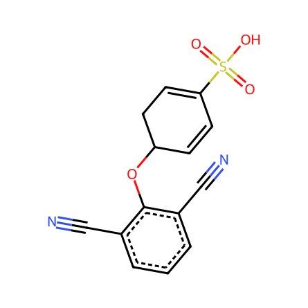 N#Cc1cccc(C#N)c1OC1C=CC(S(=O)(=O)O)=CC1